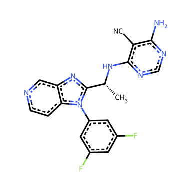 C[C@@H](Nc1ncnc(N)c1C#N)c1nc2cnccc2n1-c1cc(F)cc(F)c1